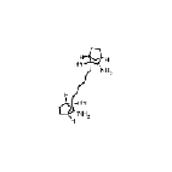 CCCC1(CCCCCCC2(CCC)[C@@H]3CC[C@@H](C3)[C@@H]2N)[C@H]2CC[C@H](C2)[C@H]1N